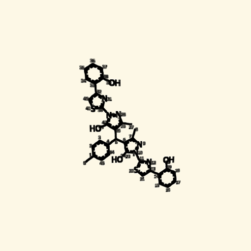 Cc1ccc(C(c2c(C)nn(-c3nc(-c4ccccc4O)cs3)c2O)c2c(C)nn(-c3nc(-c4ccccc4O)cs3)c2O)cc1